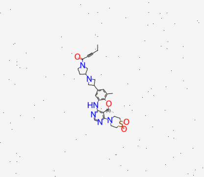 CCC#CC(=O)N1CCC(N2CC(c3cc(C)c4c(c3)Nc3ncnc(N5CCS(=O)(=O)CC5)c3[C@@H](C)O4)C2)C1